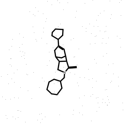 C=C1C2C3C=C(C4CCCCC4)CC(C3)C2CN1CC1CCCCCC1